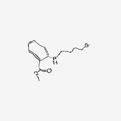 COC(=O)c1ccccc1PCCCCBr